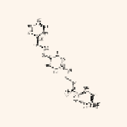 O=C(CCCN1CCC(CCCc2ccccc2)CC1)c1ccc(F)cc1